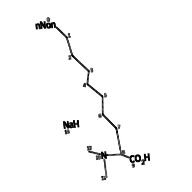 CCCCCCCCCCCCCCCCC(C(=O)O)N(C)C.[NaH]